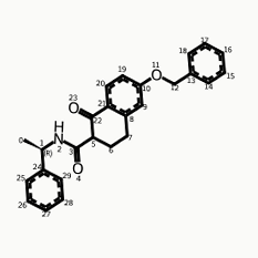 C[C@@H](NC(=O)C1CCc2cc(OCc3ccccc3)ccc2C1=O)c1ccccc1